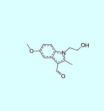 COc1ccc2c(c1)c(C=O)c(C)n2CCO